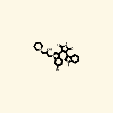 O=C1NC(=O)C(c2cn(CC(O)CN3CCCCC3)c3cc(Br)ccc23)=C1c1c[nH]c2ccccc12